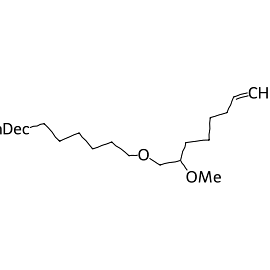 C=CCCCCC(COCCCCCCCCCCCCCCCC)OC